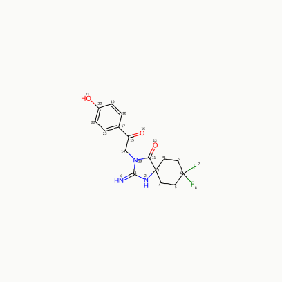 N=C1NC2(CCC(F)(F)CC2)C(=O)N1CC(=O)c1ccc(O)cc1